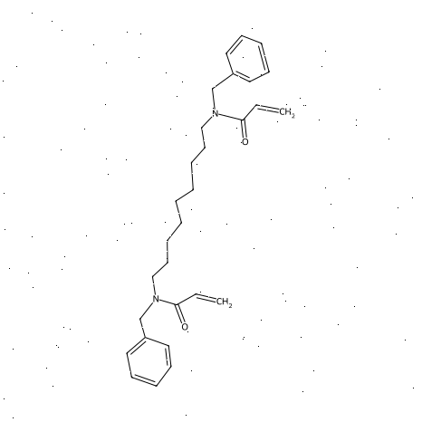 C=CC(=O)N(CCCCCCCCCN(Cc1ccccc1)C(=O)C=C)Cc1ccccc1